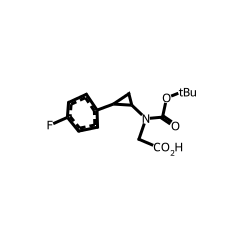 CC(C)(C)OC(=O)N(CC(=O)O)C1CC1c1ccc(F)cc1